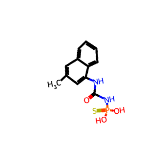 Cc1cc(NC(=O)NP(O)(O)=S)c2ccccc2c1